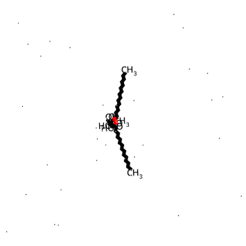 CCCCCCCCCCCCCCCCCC(=O)C(O)(C(=O)CCCCCCCCCCCCCCC)C(O)(CO)C(C)=O